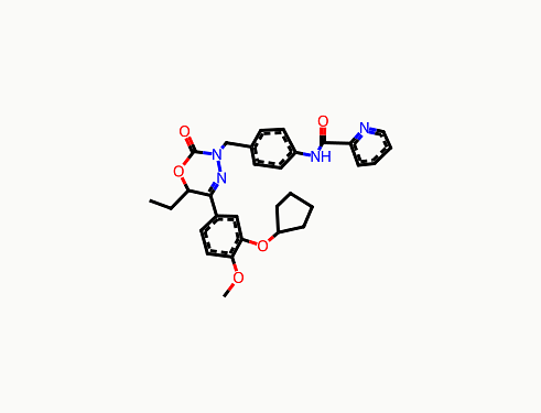 CCC1OC(=O)N(Cc2ccc(NC(=O)c3ccccn3)cc2)N=C1c1ccc(OC)c(OC2CCCC2)c1